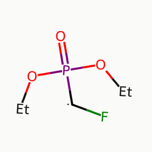 CCOP(=O)([CH]F)OCC